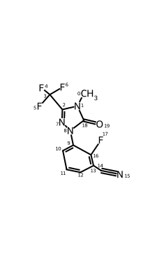 Cn1c(C(F)(F)F)nn(-c2cccc(C#N)c2F)c1=O